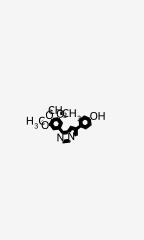 COc1cc(-c2nccn3cc(-c4ccc(O)cc4)cc23)cc(OC)c1OC